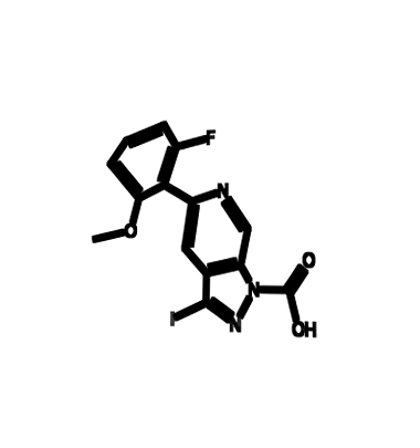 COc1cccc(F)c1-c1cc2c(I)nn(C(=O)O)c2cn1